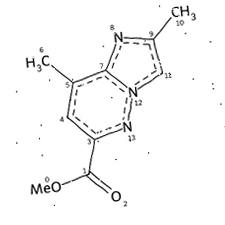 COC(=O)c1cc(C)c2nc(C)cn2n1